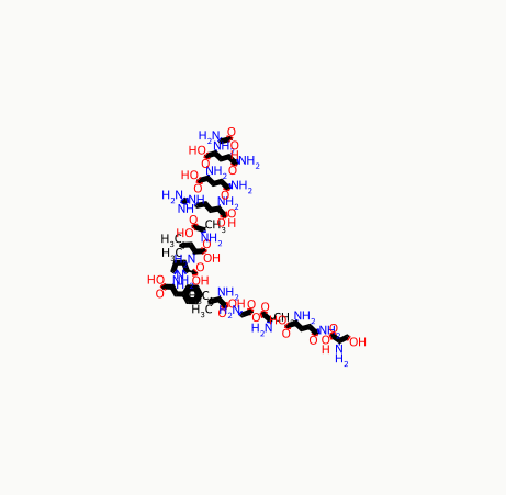 CC(C)C[C@H](N)C(=O)O.CC(C)[C@H](N)C(=O)O.C[C@H](N)C(=O)O.C[C@H](N)C(=O)OC(=O)CN.N=C(N)NCCC[C@H](N)C(=O)O.NC(=O)CC[C@H](N)C(=O)O.NC(=O)CC[C@H](N)C(=O)O.NC(=O)CC[C@H](N)C(=O)O.NCC(=O)O.N[C@@H](CO)C(=O)O.N[C@@H](Cc1ccccc1)C(=O)O.O=C(O)[C@@H]1CCCN1